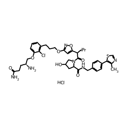 Cc1ncsc1-c1ccc(CNC(=O)C2CC(O)CN2C(=O)C(c2cc(OCCCc3cccc(OC[C@@H](N)CCC(N)=O)c3Cl)no2)C(C)C)cc1.Cl